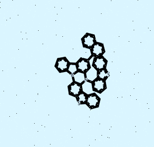 c1ccc2c(c1)B1c3ccc4sc5ccccc5c4c3N(c3cccc4sc5ccccc5c34)c3cc(-c4cccc5ccccc45)cc-2c31